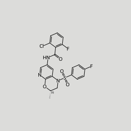 C[C@H]1CN(S(=O)(=O)c2ccc(F)cc2)c2cc(NC(=O)c3c(F)cccc3Cl)cnc2O1